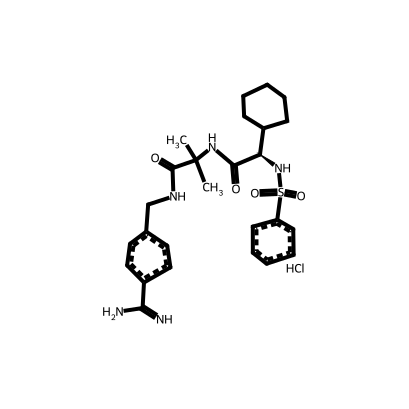 CC(C)(NC(=O)[C@H](NS(=O)(=O)c1ccccc1)C1CCCCC1)C(=O)NCc1ccc(C(=N)N)cc1.Cl